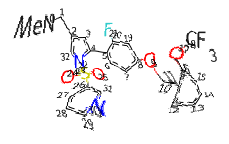 CNCc1cc(-c2ccc(OCc3ccccc3OC(F)(F)F)cc2F)n(S(=O)(=O)c2cccnc2)c1